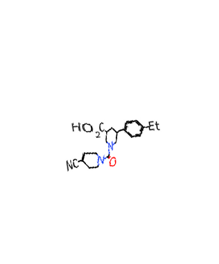 CCc1ccc(C2CC(C(=O)O)CN(C(=O)N3CCC(C#N)CC3)C2)cc1